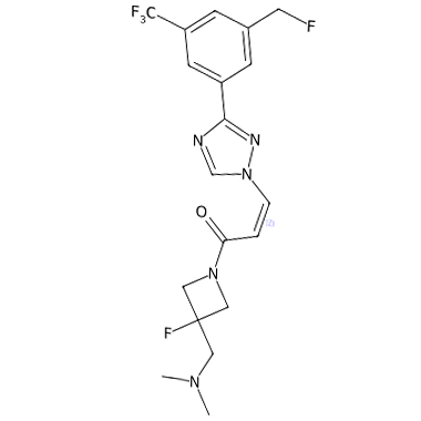 CN(C)CC1(F)CN(C(=O)/C=C\n2cnc(-c3cc(CF)cc(C(F)(F)F)c3)n2)C1